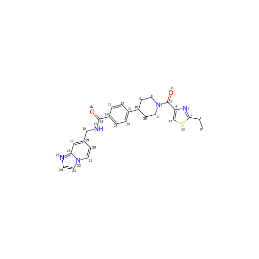 CCc1nc(C(=O)N2CCC(c3ccc(C(=O)NCc4ccn5ccnc5c4)cc3)CC2)cs1